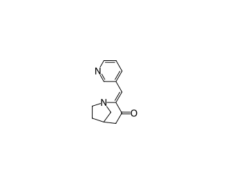 O=C1CC2CCN(C2)/C1=C\c1cccnc1